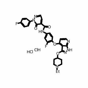 CCN1CCC(Oc2n[nH]c3nccc(Oc4ccc(NC(=O)c5ccnn(-c6ccc(F)cc6)c5=O)cc4F)c23)CC1.Cl.Cl